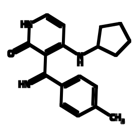 Cc1ccc(C(=N)c2c(NC3CCCC3)cc[nH]c2=O)cc1